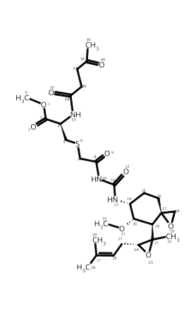 COC(=O)[C@H](CSCC(=O)NC(=O)N[C@@H]1CC[C@]2(CO2)[C@@H](C2(C)O[C@@H]2CC=C(C)C)[C@@H]1OC)NC(=O)CCC(C)=O